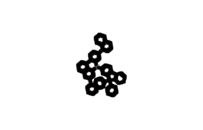 C1=CC2=C(CC1)C(c1ccccc1)(c1ccccc1)c1cc(N(c3cccc(-c4ccccc4)c3)c3cc(-c4cccc5ccccc45)ccc3-c3ccccc3)ccc12